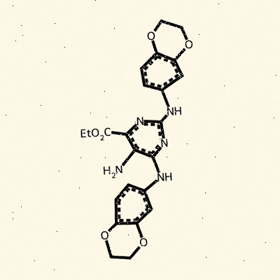 CCOC(=O)c1nc(Nc2ccc3c(c2)OCCO3)nc(Nc2ccc3c(c2)OCCO3)c1N